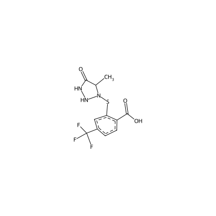 CC1C(=O)NNN1Sc1cc(C(F)(F)F)ccc1C(=O)O